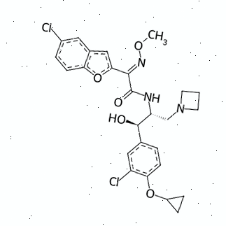 CO/N=C(/C(=O)N[C@H](CN1CCC1)[C@H](O)c1ccc(OC2CC2)c(Cl)c1)c1cc2cc(Cl)ccc2o1